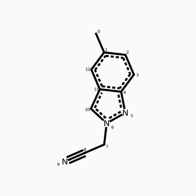 Cc1ccc2nn(CC#N)cc2c1